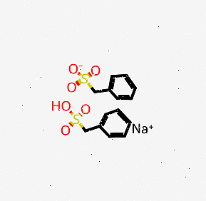 O=S(=O)(O)Cc1ccccc1.O=S(=O)([O-])Cc1ccccc1.[Na+]